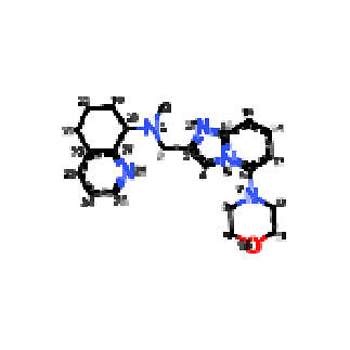 CN(Cc1cn2c(N3CCOCC3)cccc2n1)C1CCCc2cccnc21